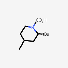 CC1CCN(C(=O)O)C(C(C)(C)C)C1